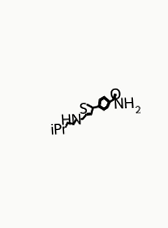 CC(C)CCNCC1=CC(c2ccc(C(N)=O)cc2)CS1